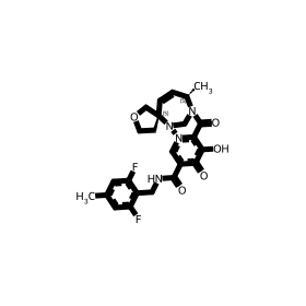 Cc1cc(F)c(CNC(=O)c2cn3c(c(O)c2=O)C(=O)N2CN3[C@]3(C=C[C@@H]2C)CCOC3)c(F)c1